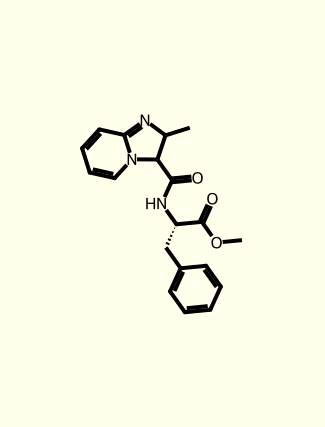 COC(=O)[C@H](Cc1ccccc1)NC(=O)C1C(C)N=C2C=CC=CN21